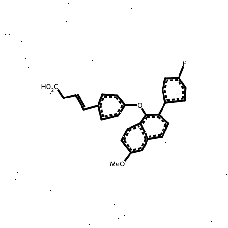 COc1ccc2c(Oc3ccc(C=CCC(=O)O)cc3)c(-c3ccc(F)cc3)ccc2c1